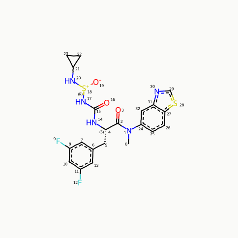 CN(C(=O)[C@H](Cc1cc(F)cc(F)c1)NC(=O)N[S@@+]([O-])NC1CC1)c1ccc2scnc2c1